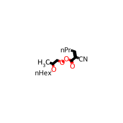 CCCC=C(C#N)C(=O)OOCC(C)OCCCCCC